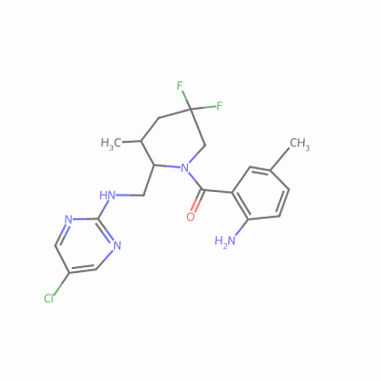 Cc1ccc(N)c(C(=O)N2CC(F)(F)CC(C)C2CNc2ncc(Cl)cn2)c1